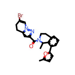 Cc1ccc(-c2cccc3c2C(C)N(C(=O)c2cc4n(n2)C=C(Br)CC4)CC3)o1